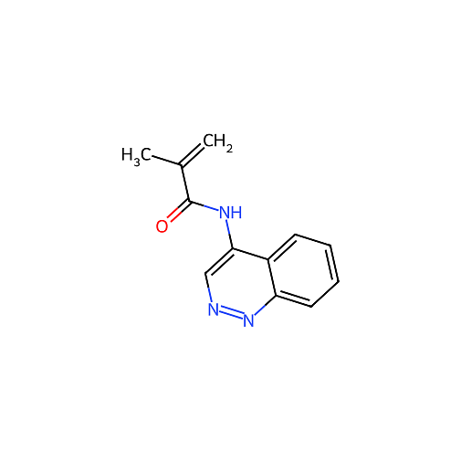 C=C(C)C(=O)Nc1cnnc2ccccc12